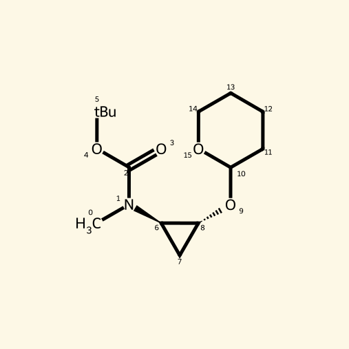 CN(C(=O)OC(C)(C)C)[C@@H]1C[C@H]1OC1CCCCO1